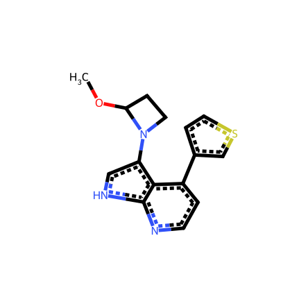 COC1CCN1c1c[nH]c2nccc(-c3ccsc3)c12